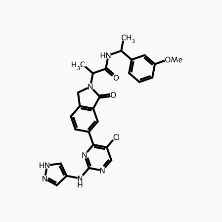 COc1cccc(C(C)NC(=O)C(C)N2Cc3ccc(-c4nc(Nc5cn[nH]c5)ncc4Cl)cc3C2=O)c1